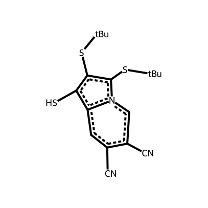 CC(C)(C)Sc1c(S)c2cc(C#N)c(C#N)cn2c1SC(C)(C)C